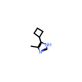 Cc1n[c][nH]c1C1CCC1